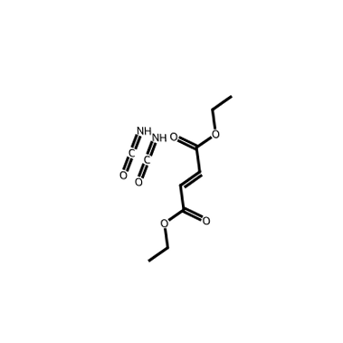 CCOC(=O)/C=C/C(=O)OCC.N=C=O.N=C=O